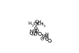 C[Si](C)(C)CCOCN(c1ncccn1)S(=O)(=O)c1ccc(NC(=O)c2cc3ccccc3[nH]2)cc1